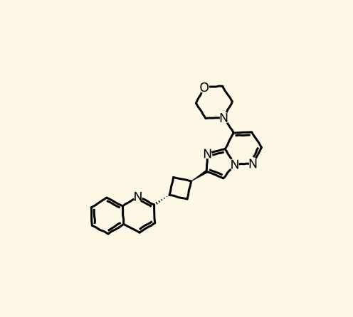 c1ccc2nc([C@H]3C[C@H](c4cn5nccc(N6CCOCC6)c5n4)C3)ccc2c1